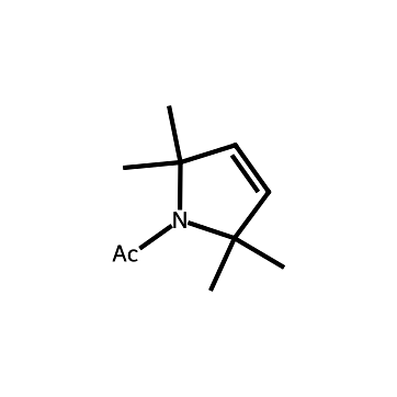 CC(=O)N1C(C)(C)C=CC1(C)C